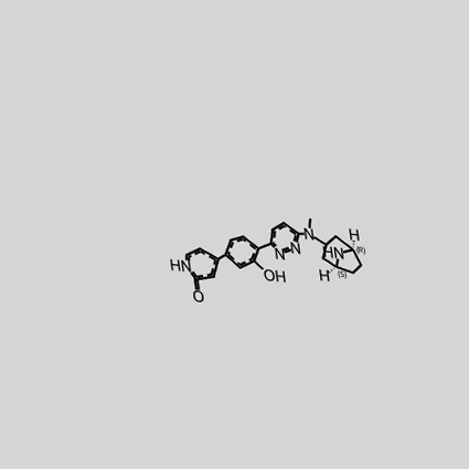 CN(c1ccc(-c2ccc(-c3cc[nH]c(=O)c3)cc2O)nn1)C1C[C@H]2CC[C@@H](C1)N2